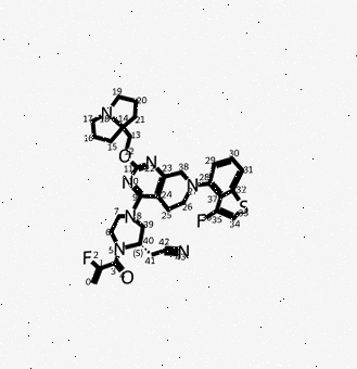 C=C(F)C(=O)N1CCN(c2nc(OCC34CCCN3CCC4)nc3c2CCN(c2cccc4scc(F)c24)C3)C[C@@H]1CC#N